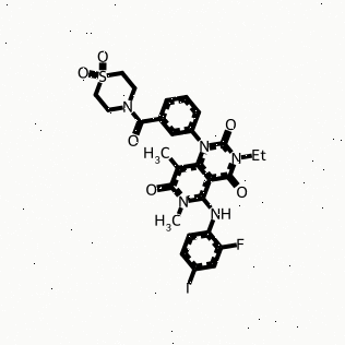 CCn1c(=O)c2c(Nc3ccc(I)cc3F)n(C)c(=O)c(C)c2n(-c2cccc(C(=O)N3CCS(=O)(=O)CC3)c2)c1=O